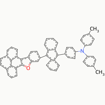 Cc1ccc(N(c2ccc(C)cc2)c2ccc(-c3c4ccccc4c(-c4ccc5c(c4)oc4c6cccc7ccc8cccc(c54)c8c76)c4ccccc34)cc2)cc1